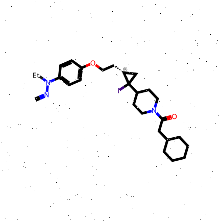 C=NN(CC)c1ccc(OCC[C@@H]2CC2(I)C2CCN(C(=O)CC3CCCCC3)CC2)cc1